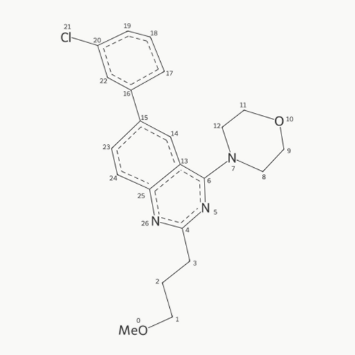 COCCCc1nc(N2CCOCC2)c2cc(-c3cccc(Cl)c3)ccc2n1